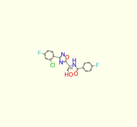 O=C(N[C@@H](CO)c1nc(-c2ccc(F)cc2Cl)no1)c1ccc(F)cc1